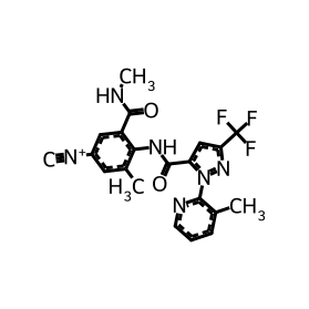 [C-]#[N+]c1cc(C)c(NC(=O)c2cc(C(F)(F)F)nn2-c2ncccc2C)c(C(=O)NC)c1